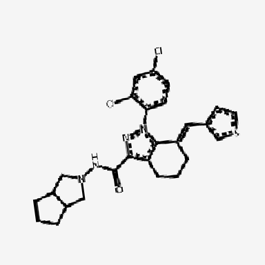 O=C(NN1CC2CCCC2C1)c1nn(-c2ccc(Cl)cc2Cl)c2c1CCC/C2=C\c1ccsc1